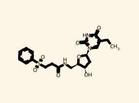 CCc1cn([C@H]2C[C@H](O)[C@@H](CNC(=O)CCS(=O)(=O)c3ccccc3)O2)c(=O)[nH]c1=O